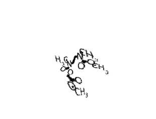 COC(=O)COC(=O)N(C)CCN(C)C(=O)OC